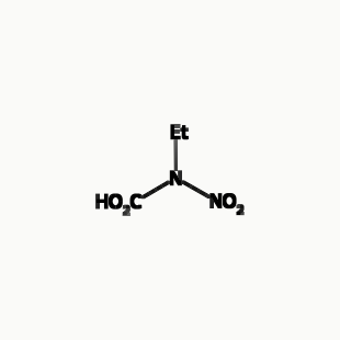 CCN(C(=O)O)[N+](=O)[O-]